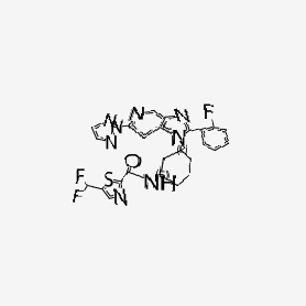 O=C(N[C@H]1CCC[C@@H](n2c(-c3ccccc3F)nc3cnc(-n4nccn4)cc32)C1)c1ncc(C(F)F)s1